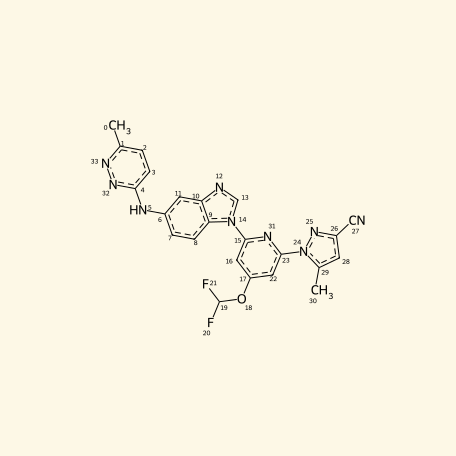 Cc1ccc(Nc2ccc3c(c2)ncn3-c2cc(OC(F)F)cc(-n3nc(C#N)cc3C)n2)nn1